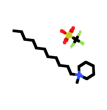 CCCCCCCCCCC[N+]1(C)CCCCC1.O=S(=O)([O-])C(F)(F)F